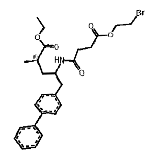 CCOC(=O)[C@H](C)CC(Cc1ccc(-c2ccccc2)cc1)NC(=O)CCC(=O)OCCBr